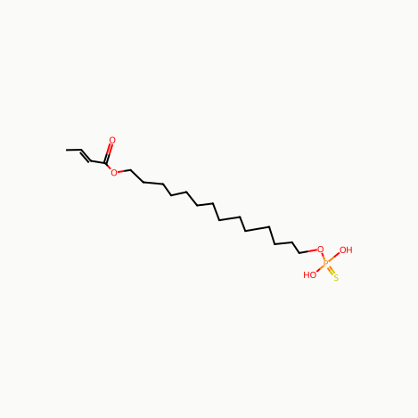 CC=CC(=O)OCCCCCCCCCCCCCCOP(O)(O)=S